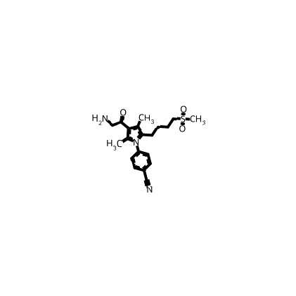 Cc1c(C(=O)CN)c(C)n(-c2ccc(C#N)cc2)c1CCCCS(C)(=O)=O